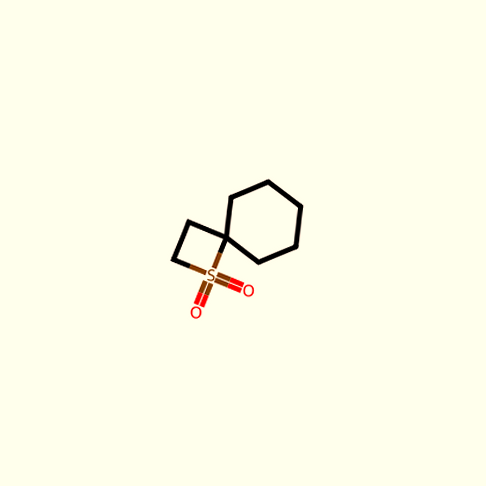 O=S1(=O)CCC12CCCCC2